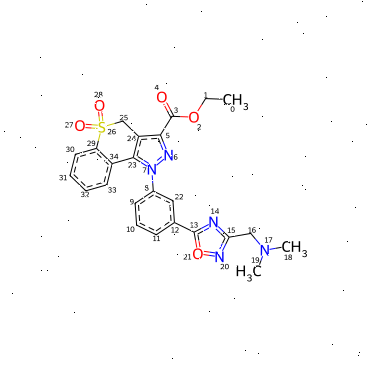 CCOC(=O)c1nn(-c2cccc(-c3nc(CN(C)C)no3)c2)c2c1CS(=O)(=O)c1ccccc1-2